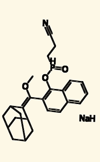 COC(=C1C2CC3CC(C2)CC1C3)c1ccc2ccccc2c1O[PH](=O)CCC#N.[NaH]